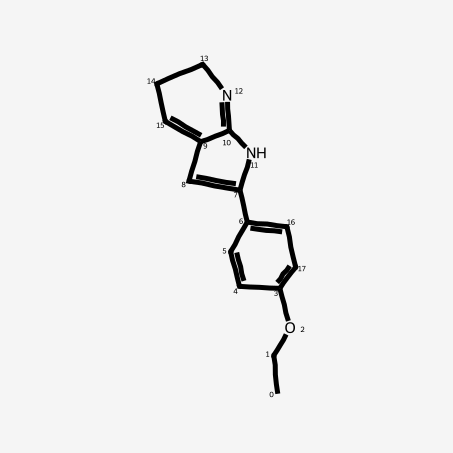 CCOc1ccc(-c2cc3c([nH]2)=NCCC=3)cc1